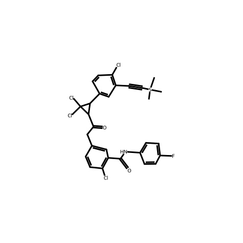 CS(C)(C)C#Cc1cc(C2C(C(=O)Cc3ccc(Cl)c(C(=O)Nc4ccc(F)cc4)c3)C2(Cl)Cl)ccc1Cl